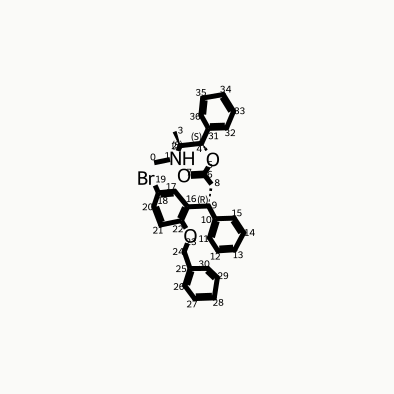 CN[C@@H](C)[C@@H](OC(=O)C[C@H](c1ccccc1)c1cc(Br)ccc1OCc1ccccc1)c1ccccc1